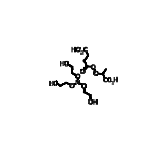 CC(OOC(=O)CCC(=O)O)C(=O)O.OCCON(OCCO)OCCO